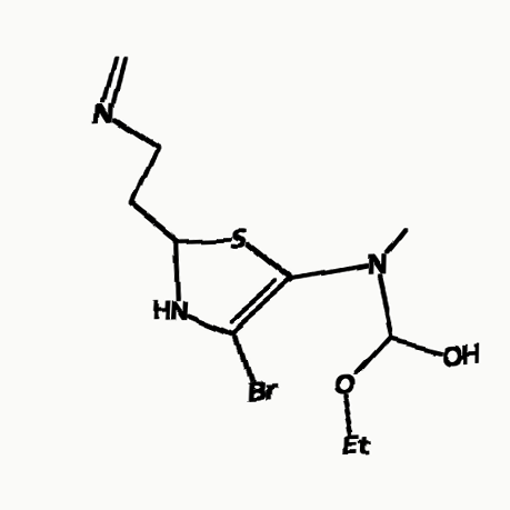 C=NCCC1NC(Br)=C(N(C)C(O)OCC)S1